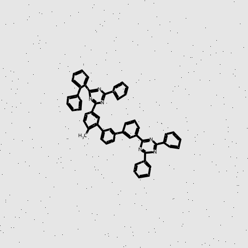 Cc1ccc(-c2nc(-c3ccccc3)nc(-c3ccccc3-c3ccccc3)n2)cc1-c1cccc(-c2cccc(-c3nc(-c4ccccc4)nc(-c4ccccc4)n3)c2)c1